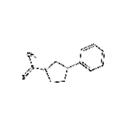 CS(=S)N1CCC(c2ccccc2)C1